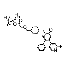 CC(C)(C)OC(=O)COC[C@H]1CC[C@H](Cn2nc(-c3ccccc3)c(-c3ccnc(F)c3)cc2=O)CC1